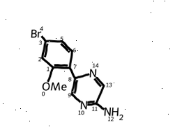 COc1cc(Br)ccc1-c1cnc(N)cn1